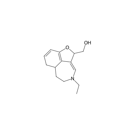 CCN1C=C2C3=C(C=CCC3CC1)OC2CO